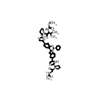 COC(=O)NCC(=O)N1CCC[C@H]1c1ncc(-c2ccc3c(c2)cc2n3[C@H](c3ccccc3)Oc3cc(-c4cnc([C@@H]5CCCN5C(=O)[C@@H](NC(=O)OC)C(C)C)[nH]4)ccc3-2)[nH]1